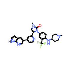 CN1CCC(Nc2ccc(-n3c(-c4cc(-c5cnc6[nH]ccc6c5)ccn4)cn(C)c3=O)cc2C(F)(F)F)CC1